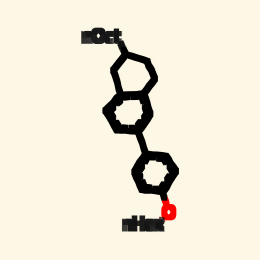 CCCCCCCCC1CCc2cc(-c3ccc(OCCCCCC)cc3)ccc2C1